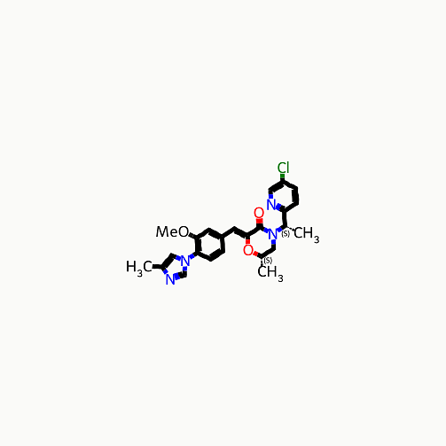 COc1cc(C=C2O[C@@H](C)CN([C@@H](C)c3ccc(Cl)cn3)C2=O)ccc1-n1cnc(C)c1